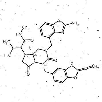 C=C=C1Nc2cc(C[C@H]3C(=O)N(Cc4cccc5sc(N)nc45)C[C@H]4N3C(=O)CN4N(C(=O)NC)C(C)C)ccc2O1